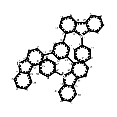 c1ccc(-n2c3ccccc3c3cccc(-c4cc(-c5ccc6oc7ccccc7c6c5)cc(-c5cccc6c7ccccc7n(-c7ccccc7)c56)c4)c32)cc1